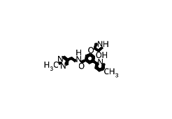 Cc1ccc(-c2cc(O[C@@H]3CNCC3O)cc(C(=O)NCCc3cnc(C)nc3)c2)nc1